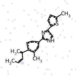 C=C(/C=C\C)c1ccc(-c2nc(-c3ccc(C)s3)c[nH]2)cc1C